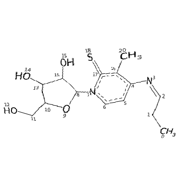 CC/C=N\c1ccn(C2OC(CO)C(O)C2O)c(=S)c1C